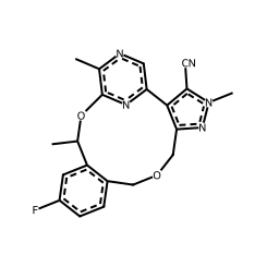 Cc1ncc2nc1OC(C)c1cc(F)ccc1COCc1nn(C)c(C#N)c1-2